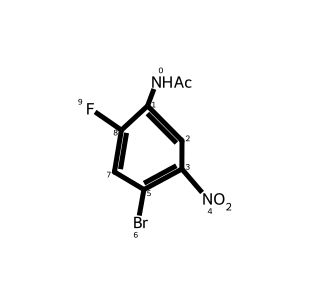 CC(=O)Nc1cc([N+](=O)[O-])c(Br)cc1F